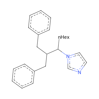 CCCCCCC(C(Cc1ccccc1)Cc1ccccc1)n1ccnc1